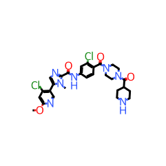 COc1cc(Cl)c(-c2cnc(C(=O)Nc3ccc(C(=O)N4CCN(C(=O)C5CCNCC5)CC4)c(Cl)c3)n2C)cn1